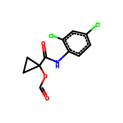 O=COC1(C(=O)Nc2ccc(Cl)cc2Cl)CC1